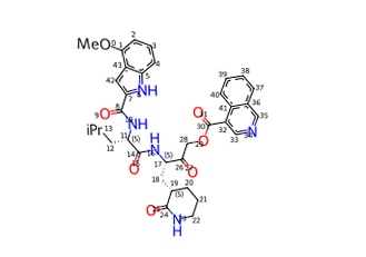 COc1cccc2[nH]c(C(=O)N[C@@H](CC(C)C)C(=O)N[C@@H](C[C@@H]3CCCNC3=O)C(=O)COC(=O)c3cncc4ccccc34)cc12